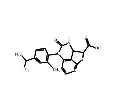 Cc1cc(C(C)C)ccc1N1C(=O)NC2c3c1ccnc3SC2C(=O)O